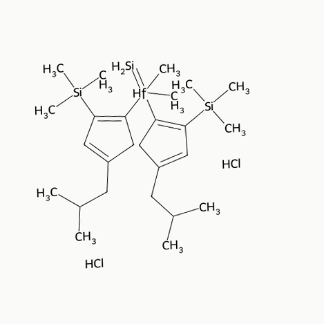 CC(C)CC1=CC([Si](C)(C)C)=[C]([Hf]([CH3])([CH3])(=[SiH2])[C]2=C([Si](C)(C)C)C=C(CC(C)C)C2)C1.Cl.Cl